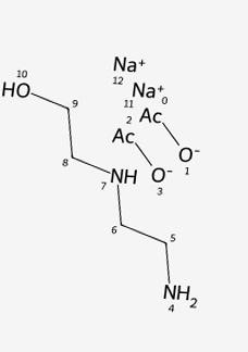 CC(=O)[O-].CC(=O)[O-].NCCNCCO.[Na+].[Na+]